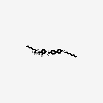 CCCCCCCCOc1ccc(-c2ccc(C(=O)Oc3ccc(C(=O)OC(CCCCCC)C(F)(F)F)c(Br)c3)cc2)cc1